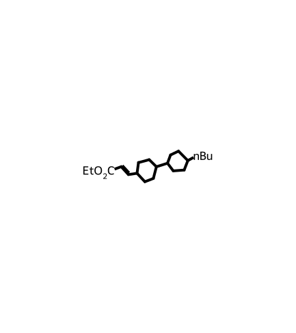 CCCCC1CCC(C2CCC(C=CC(=O)OCC)CC2)CC1